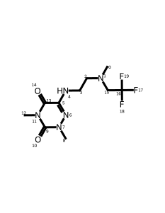 CN(CCNc1nn(C)c(=O)n(C)c1=O)CC(F)(F)F